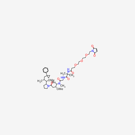 CCC(C)C(C(CC(=O)N1CCCC1C(OC)C(C)CC1(c2ccccc2)CC1)OC)N(C)C(=O)CNC(=O)C(C)(C)NC(=O)CCOCCOCCOCCN1C(=O)C=CC1=O